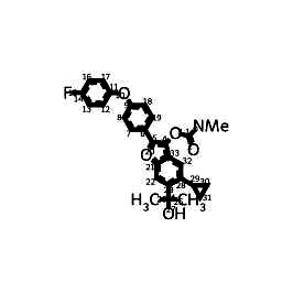 CNC(=O)Oc1c(-c2ccc(Oc3ccc(F)cc3)cc2)oc2cc(C(C)(C)O)c(C3CC3)cc12